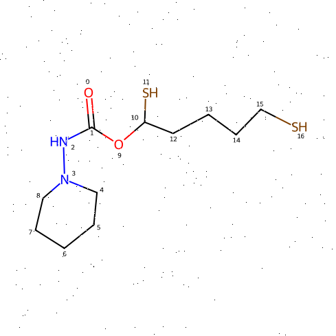 O=C(NN1CCCCC1)OC(S)CCCCS